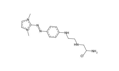 Cn1cc[n+](C)c1/N=N/c1ccc(NCCNCC(N)Cl)cc1